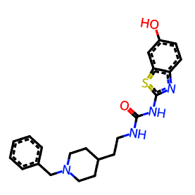 O=C(NCCC1CCN(Cc2ccccc2)CC1)Nc1nc2ccc(O)cc2s1